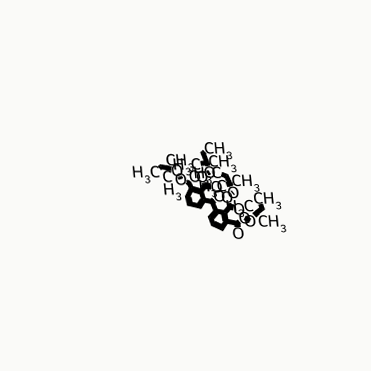 CCC(C)(C)OOC(=O)c1cccc(C(=O)c2cccc(C(=O)OOC(C)(C)CC)c2C(=O)OOC(C)(C)CC)c1C(=O)OOC(C)(C)CC